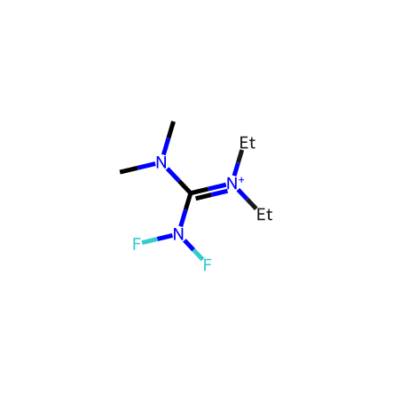 CC[N+](CC)=C(N(C)C)N(F)F